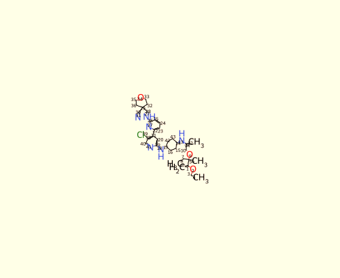 C=C(OCC)C(C)(CC)OC[C@H](C)N[C@H]1CC[C@H](Nc2cc(-c3cccc(NCC4(C#N)CCOCC4)n3)c(Cl)cn2)CC1